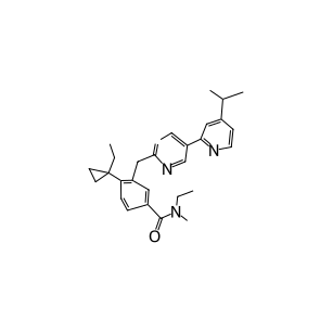 C=C(Cc1cc(C(=O)N(C)CC)ccc1C1(CC)CC1)/N=C\C(=C/C)c1cc(C(C)C)ccn1